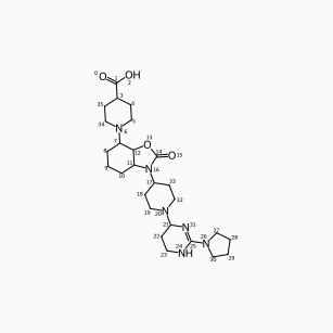 O=C(O)C1CCN(C2CCCC3C2OC(=O)N3C2CCN(C3CCNC(N4CCCC4)=N3)CC2)CC1